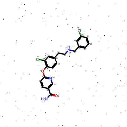 NC(=O)c1ccc(Oc2ccc(CCNCc3cccc(Cl)c3)cc2Cl)nc1